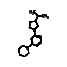 CC(C)C1CCN(c2cc(N3CCCCC3)ccn2)C1